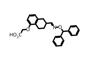 O=C(O)COc1cccc2c1CCC(C=NOC(c1ccccc1)c1ccccc1)C2